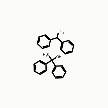 CC(O)(c1ccccc1)c1ccccc1.CC(c1ccccc1)c1ccccc1